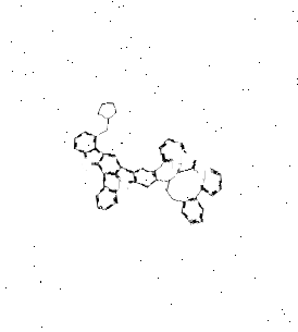 C=C1C2C(CCc3ccccc3-c3cccc[n+]31)c1cc3c(cc1-c1cccc[n+]12)c1cc2c(oc4cccc(CC5CCCC5)c42)c2c4ccccc4n3c12